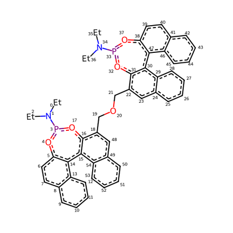 CCN(CC)p1oc2ccc3ccccc3c2c2c(o1)c(COCc1cc3ccccc3c3c1op(N(CC)CC)oc1ccc4ccccc4c13)cc1ccccc12